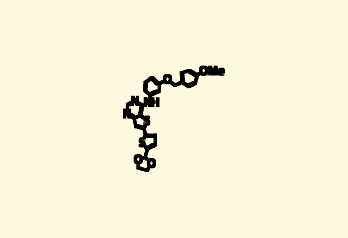 COc1ccc(COc2cccc(Nc3ncnc4cc(-c5ccc(C6OCCO6)s5)sc34)c2)cc1